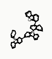 c1ccc(-n2c3ccccc3c3ccc(-c4ccc5c(c4)c4ccccc4n5-c4ccc(-c5cccc6c5oc5ccccc56)c5ccccc45)cc32)cc1